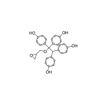 Oc1ccc(C(c2ccc(O)cc2)C(OCC2CO2)(c2ccc(O)cc2)c2ccc(O)cc2)cc1